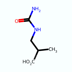 CC(CNC(N)=O)C(=O)O